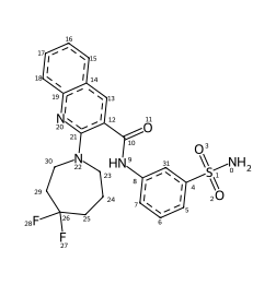 NS(=O)(=O)c1cccc(NC(=O)c2cc3ccccc3nc2N2CCCC(F)(F)CC2)c1